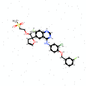 CC(OCCS(C)(=O)=O)C1(c2cc3c(Nc4ccc(OCc5cccc(F)c5)c(Cl)c4)ncnc3cc2F)CC=CO1